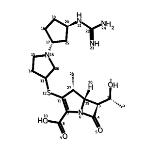 C[C@@H](O)[C@H]1C(=O)N2C(C(=O)O)=C(SC3CCN([C@@H]4CC[C@@H](NC(=N)N)C4)C3)[C@H](C)[C@H]12